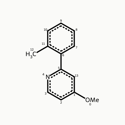 COc1ccnc(-c2ccccc2C)c1